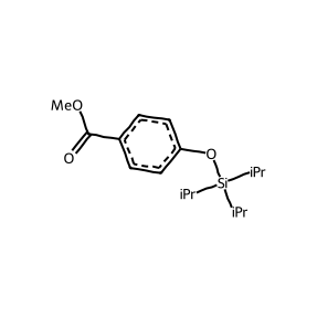 COC(=O)c1ccc(O[Si](C(C)C)(C(C)C)C(C)C)cc1